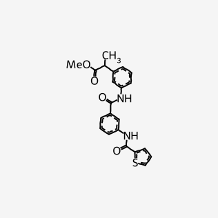 COC(=O)C(C)c1cccc(NC(=O)c2cccc(NC(=O)c3cccs3)c2)c1